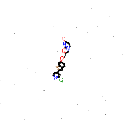 O=c1ccn2c(n1)O[C@H](COc1ccc3cc(-c4ccnc(Cl)c4)sc3c1)C2